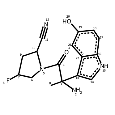 CC(N)(C(=O)N1CC(F)CC1C#N)c1c[nH]c2ccc(O)cc12